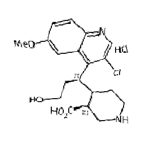 COc1ccc2ncc(Cl)c([C@H](CCO)C3CCNC[C@H]3C(=O)O)c2c1.Cl